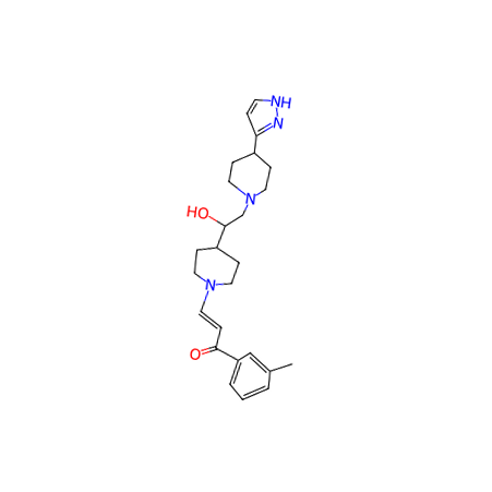 Cc1cccc(C(=O)C=CN2CCC(C(O)CN3CCC(c4cc[nH]n4)CC3)CC2)c1